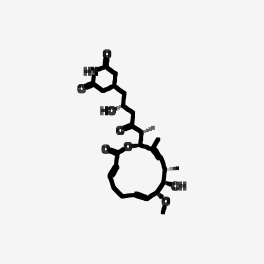 CO[C@H]1/C=C/CC/C=C/C(=O)O[C@@H]([C@@H](C)C(=O)C[C@H](O)CC2CC(=O)NC(=O)C2)/C(C)=C\[C@H](C)[C@H]1O